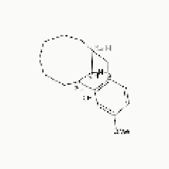 COc1ccc2c(c1)[C@@]1(C)CCCCCC[C@@H](C2)[C@@H]1N